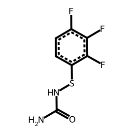 NC(=O)NSc1ccc(F)c(F)c1F